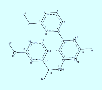 CCc1cccc(-c2cc(NC(C)c3cccc(OC)c3)nc(C)n2)c1